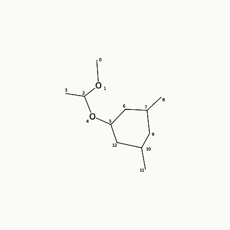 COC(C)OC1CC(C)CC(C)C1